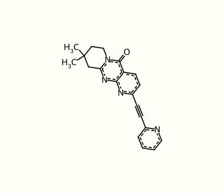 CC1(C)CCn2c(nc3nc(C#Cc4ccccn4)ccc3c2=O)C1